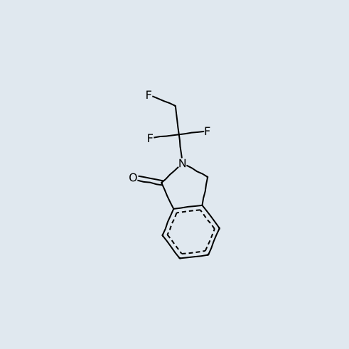 O=C1c2ccccc2CN1C(F)(F)CF